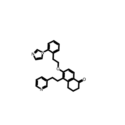 O=C1CCCc2c1ccc(OCCc1ccccc1-n1ccnc1)c2CCc1cccnc1